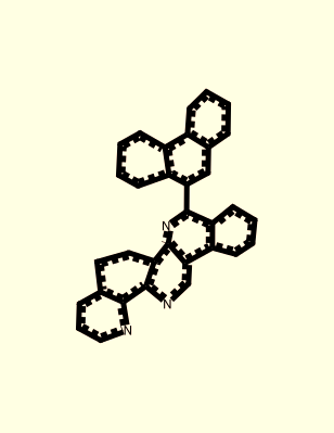 c1ccc2c(c1)cc(-c1nc3c(cnc4c3ccc3cccnc34)c3ccccc13)c1ccccc12